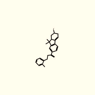 C=C(CCc1ccccc1C)c1ccc2c(c1)C(C)(C)C1CC(I)CC=C21